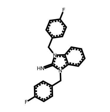 N=c1n(Cc2ccc(F)cc2)c2ccccc2n1Cc1ccc(F)cc1